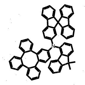 CC1(C)c2ccccc2-c2c(N(c3ccc4c(c3)-c3ccccc3-c3ccccc3-c3ccccc3-4)c3ccc4c(c3)C3(c5ccccc5-c5ccccc53)c3ccccc3-4)cccc21